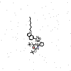 CCCCCCCCn1ccc2ccc(-c3noc([C@@H]4CCCN4/C(=N/C(=O)OC(C)(C)C)NC(=O)OC(C)(C)C)n3)cc21